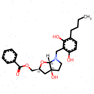 CCCCc1ccc(O)c(CN2CC[C@]3(O)C[C@@H](COC(=O)c4ccccc4)O[C@H]23)c1O